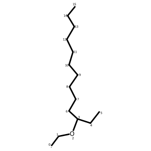 [CH2]COC(CC)CCCCCCCCCC